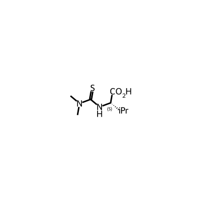 CC(C)[C@H](NC(=S)N(C)C)C(=O)O